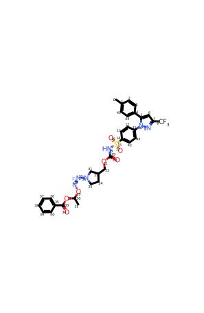 Cc1ccc(-c2cc(C(F)(F)F)nn2-c2ccc(S(=O)(=O)NC(=O)OCC3CCN(/N=N\OC(C)OC(=O)c4ccccc4)C3)cc2)cc1